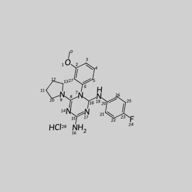 COc1cccc(N2C(N3CCCC3)=NC(N)=NC2Nc2ccc(F)cc2)c1.Cl